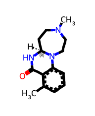 Cc1cccc2c1C(=O)N[C@H]1CCN(C)CCN21